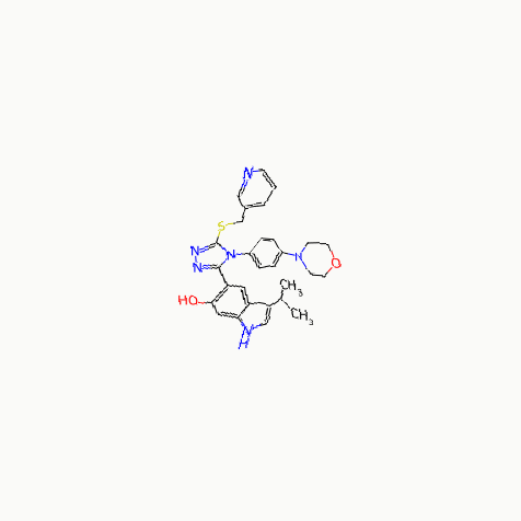 CC(C)c1c[nH]c2cc(O)c(-c3nnc(SCc4cccnc4)n3-c3ccc(N4CCOCC4)cc3)cc12